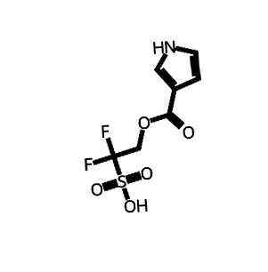 O=C(OCC(F)(F)S(=O)(=O)O)c1cc[nH]c1